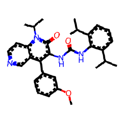 COc1cccc(-c2c(NC(=O)Nc3c(C(C)C)cccc3C(C)C)c(=O)n(C(C)C)c3ccncc23)c1